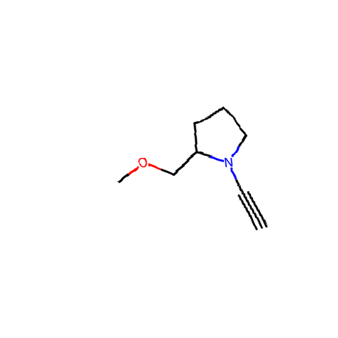 C#CN1CCCC1COC